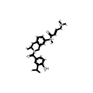 CC(C)c1cc(C(=O)N2Cc3cc(N(C)C(=O)/C=C/CN(C)C)ccc3CC2C)ccc1O